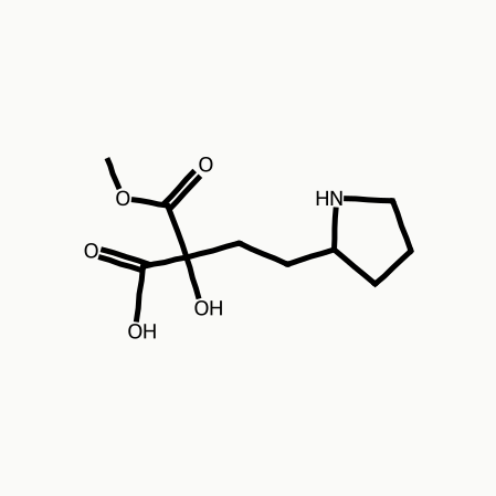 COC(=O)C(O)(CCC1CCCN1)C(=O)O